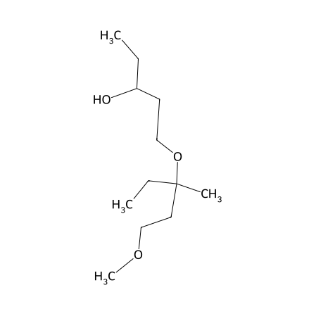 CCC(O)CCOC(C)(CC)CCOC